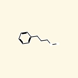 CCOCCCc1c[c]ccc1